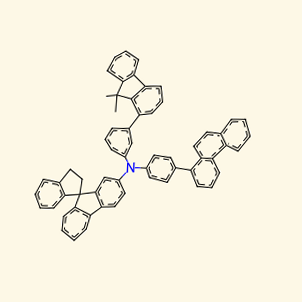 CC1(C)c2ccccc2-c2cccc(-c3cccc(N(c4ccc(-c5cccc6c5ccc5ccccc56)cc4)c4ccc5c(c4)C4(CCc6ccccc64)c4ccccc4-5)c3)c21